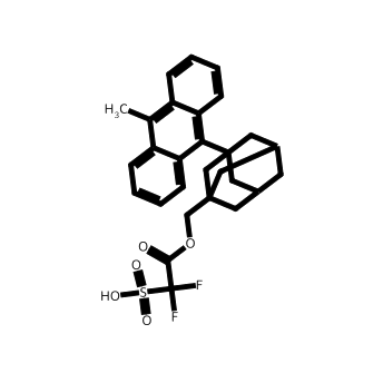 Cc1c2ccccc2c(C23CC4CC(CC(COC(=O)C(F)(F)S(=O)(=O)O)(C4)C2)C3)c2ccccc12